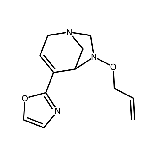 C=CCON1CN2CC=C(c3ncco3)C1C2